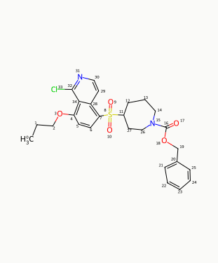 CCCOc1ccc(S(=O)(=O)C2CCCN(C(=O)OCc3ccccc3)CC2)c2ccnc(Cl)c12